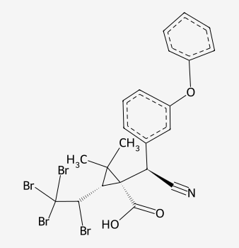 CC1(C)[C@@H](C(Br)C(Br)(Br)Br)[C@]1(C(=O)O)[C@H](C#N)c1cccc(Oc2ccccc2)c1